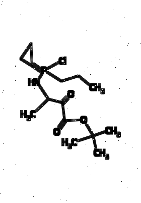 CCCP(Cl)(NC(C)C(=O)C(=O)OC(C)(C)C)=C1CC1